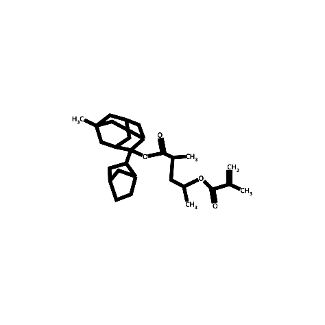 C=C(C)C(=O)OC(C)CC(C)C(=O)OC1(C2CC3CCC2C3)C2CC3CC1CC(C)(C3)C2